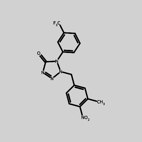 Cc1cc(Cn2nnc(=O)n2-c2cccc(C(F)(F)F)c2)ccc1[N+](=O)[O-]